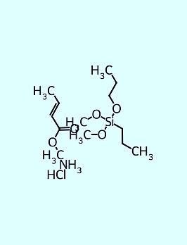 CC=CC(=O)OC.CCCO[Si](CCC)(OC)OC.Cl.N